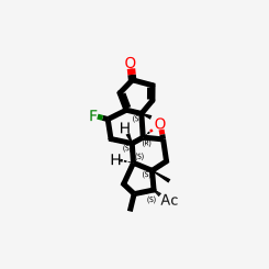 CC(=O)[C@H]1C(C)C[C@H]2[C@@H]3CC(F)C4=CC(=O)C=C[C@]4(C)[C@]34OC4C[C@]12C